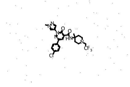 Cn1cc(-n2nc(-c3ccc(Cl)cc3)cc(C(=O)NC3(C)CCN(CC(F)(F)F)CC3)c2=O)cn1